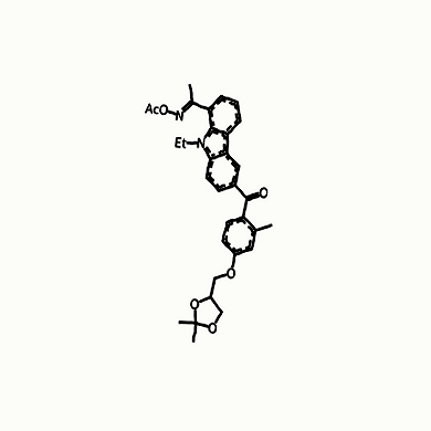 CCn1c2ccc(C(=O)c3ccc(OCC4COC(C)(C)O4)cc3C)cc2c2cccc(C(C)=NOC(C)=O)c21